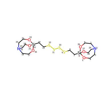 C1CN2CCO[Si](CCSSSSCC[Si]34OCCN(CCO3)CCO4)(O1)OCC2